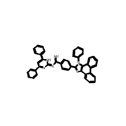 N=C(/N=c1/nc(-c2ccccc2)cc(-c2ccccc2)[nH]1)c1ccc(-c2nc3c4ccccc4c4ccccc4c3n2-c2ccccc2)cc1